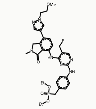 CCOP(=O)(Cc1ccc(Nc2ncc(CF)c(Nc3ccc(-c4cnn(CCOC)c4)c4c3C(=O)N(C)C4)n2)cc1)OCC